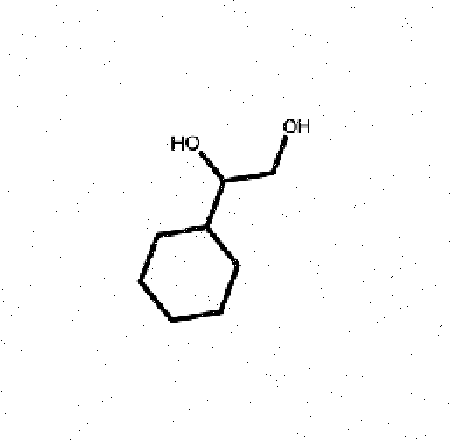 OCC(O)C1CCCCC1